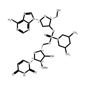 CO[C@@H]1C(O)[C@@H](COP(=O)(OC2C[C@H](n3cnc4c(N)ncnc43)O[C@@H]2CO)N2CC(C)CC(C)C2)O[C@H]1n1ccc(=O)[nH]c1=O